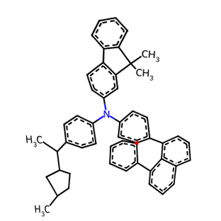 CC1CCC(C(C)c2ccc(N(c3ccc(-c4cccc5cccc(-c6ccccc6)c45)cc3)c3ccc4c(c3)C(C)(C)c3ccccc3-4)cc2)C1